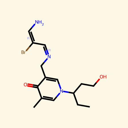 CCC(CCO)n1cc(C)c(=O)c(C/N=C\C(Br)=C/N)c1